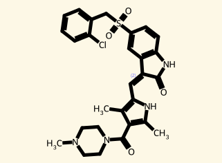 Cc1[nH]c(/C=C2\C(=O)Nc3ccc(S(=O)(=O)Cc4ccccc4Cl)cc32)c(C)c1C(=O)N1CCN(C)CC1